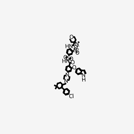 CN(C)C1(CNc2ccc(S(=O)(=O)NC(=O)c3ccc(N4CCN(CC5=C(c6ccc(Cl)cc6)CC(C)(C)CC5)CC4)cc3Oc3ccc4[nH]ccc4c3)cc2[N+](=O)[O-])CCOCC1